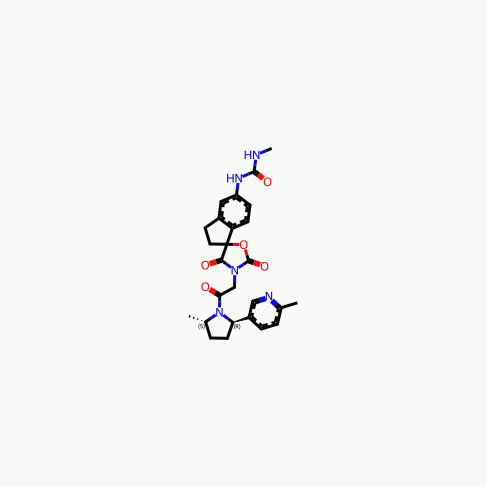 CNC(=O)Nc1ccc2c(c1)CCC21OC(=O)N(CC(=O)N2[C@@H](c3ccc(C)nc3)CC[C@@H]2C)C1=O